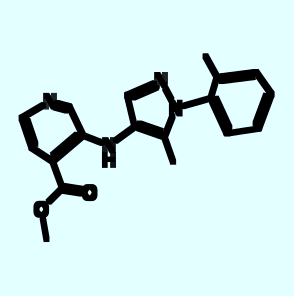 COC(=O)c1ccncc1Nc1cnn(-c2ccccc2C)c1C